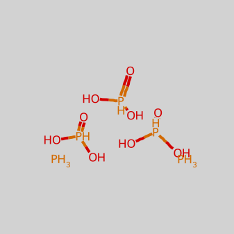 O=[PH](O)O.O=[PH](O)O.O=[PH](O)O.P.P